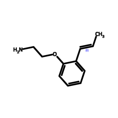 C/C=C/c1ccccc1OCCN